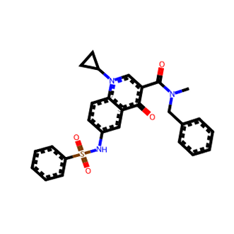 CN(Cc1ccccc1)C(=O)c1cn(C2CC2)c2ccc(NS(=O)(=O)c3ccccc3)cc2c1=O